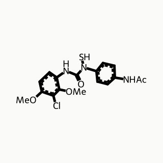 COc1ccc(NC(=O)N(S)c2ccc(NC(C)=O)cc2)c(OC)c1Cl